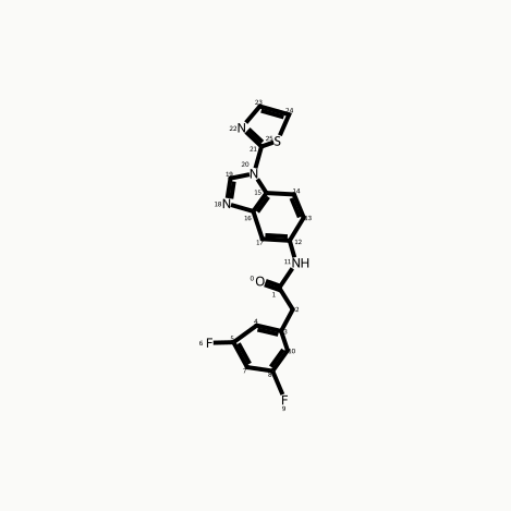 O=C(Cc1cc(F)cc(F)c1)Nc1ccc2c(c1)ncn2-c1nccs1